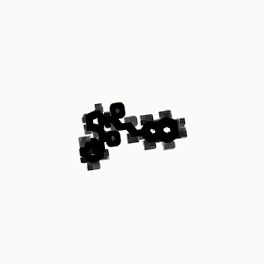 O=C(C1CCCN1C(=O)CCCC1=Cc2ccccc2C1)N1CCSC1